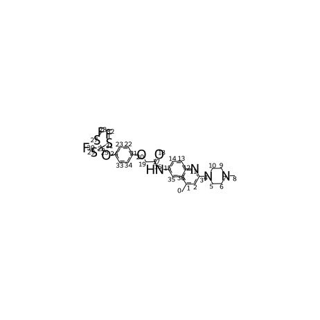 Cc1cc(N2CCN(C)CC2)nc2ccc(NC(=O)COc3ccc(OC(SF)(SF)SF)cc3)cc12